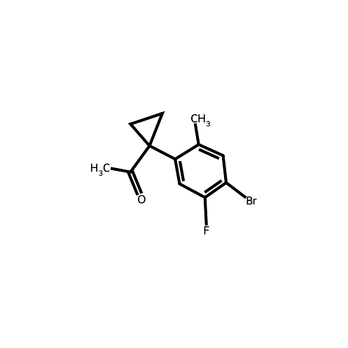 CC(=O)C1(c2cc(F)c(Br)cc2C)CC1